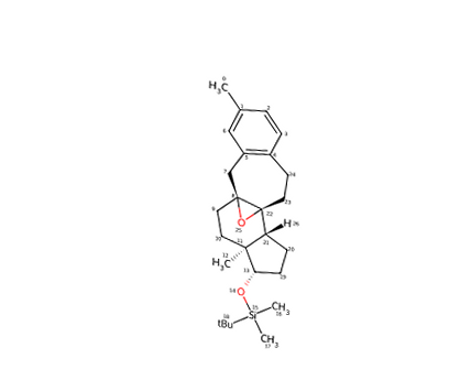 Cc1ccc2c(c1)C[C@@]13CC[C@]4(C)[C@@H](O[Si](C)(C)C(C)(C)C)CC[C@H]4[C@]1(CC2)O3